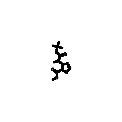 COC(=O)c1scnc1N(C)C(=O)OC(C)(C)C